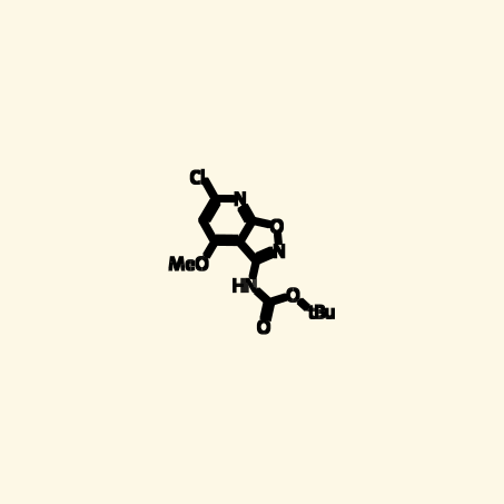 COc1cc(Cl)nc2onc(NC(=O)OC(C)(C)C)c12